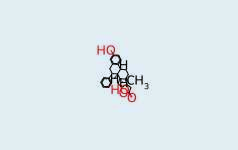 C[C@]12CC[C@@H]3c4ccc(O)cc4C[C@H](c4ccccc4)[C@H]3[C@@H]1CC1OC(=O)C[C@@]12O